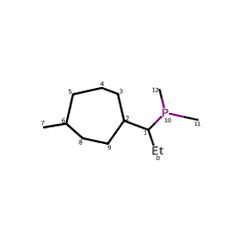 CCC(C1CCCC(C)CC1)P(C)C